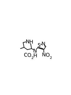 CC1CNCC(N(C(=O)O)c2sncc2[N+](=O)[O-])C1